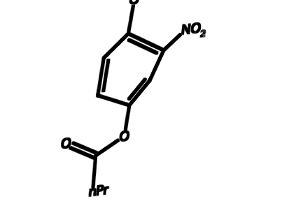 CCCC(=O)Oc1ccc(OC(C)C)c([N+](=O)[O-])c1